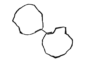 C1=C(\C2=C\CCCCCCCCCCC2)CCCCCCCCCCC/1